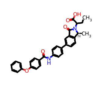 CCC(C(=O)O)N1C(=O)c2cc(-c3ccc(NC(=O)c4ccc(Oc5ccccc5)cc4)cc3)ccc2[C@@H]1C